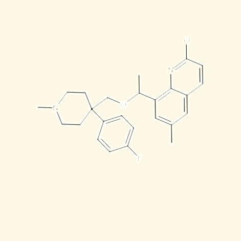 Cc1cc(C(C)OCC2(c3ccc(F)cc3)CCN(C)CC2)c2nc(Cl)ccc2c1